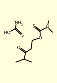 CC(C)C(=O)CCOC(=S)N(C)C.NC(O)=S